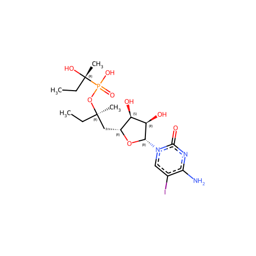 CC[C@](C)(C[C@H]1O[C@@H](n2cc(I)c(N)nc2=O)[C@H](O)[C@@H]1O)OP(=O)(O)[C@@](C)(O)CC